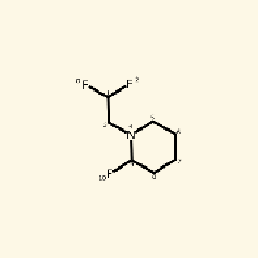 FC(F)CN1CCCCC1F